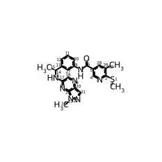 CSc1ncc(C(=O)Nc2cccc([C@H](C)Nc3cnc4cnn(C)c4n3)c2)cc1C